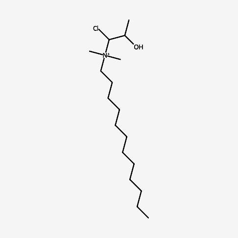 CCCCCCCCCCCC[N+](C)(C)C(Cl)C(C)O